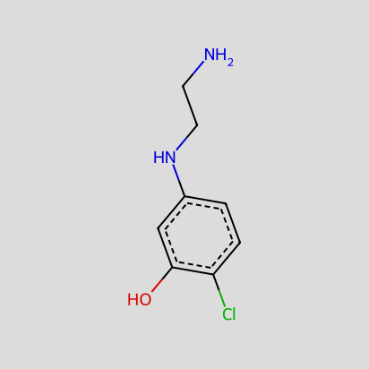 NCCNc1ccc(Cl)c(O)c1